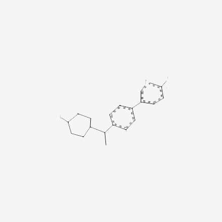 CCCCC1CCC(C(C)c2ccc(-c3ccc(Cl)nc3)cc2)CC1